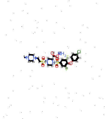 CN1CCN(CCS(=O)(=O)N2CCN(S(=O)(=O)c3cc(F)c(Oc4ccc(Cl)cc4)c(F)c3)[C@@H](C(=O)ON)C2)CC1